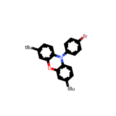 CC(C)(C)c1ccc2c(c1)Oc1cc(C(C)(C)C)ccc1N2c1ccc(Br)cc1